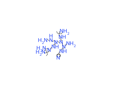 CCC(CC)(CN)CNCCN(CCN(CCN)CCNCc1ccncc1)CCN(CCNCCN)CCNCCN(CCN)CC(CC)(CC)CN